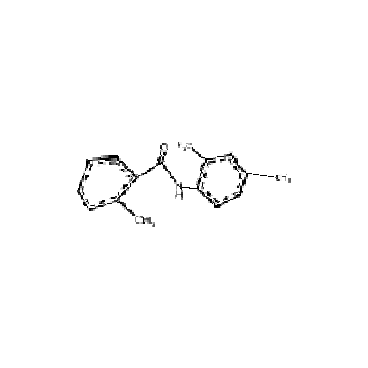 Cc1ccc(NC(=O)c2ccccc2C)c(C(F)(F)F)c1